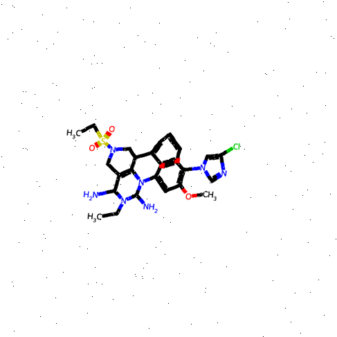 CCN1C(N)C2=C(C(c3ccccc3)CN(S(=O)(=O)CC)C2)N(c2ccc(-n3cnc(Cl)c3)c(OC)c2)C1N